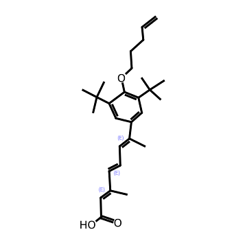 C=CCCCOc1c(C(C)(C)C)cc(/C(C)=C/C=C/C(C)=C/C(=O)O)cc1C(C)(C)C